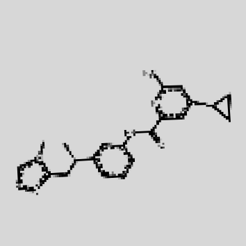 C[C@H](Cc1nncn1C)c1cccc(NC(=O)c2cc(C3CC3)cc(C(F)(F)F)n2)c1